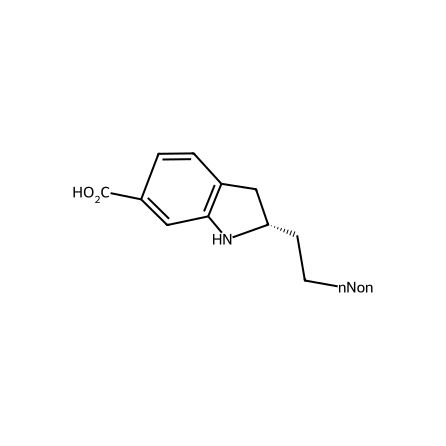 CCCCCCCCCCC[C@H]1Cc2ccc(C(=O)O)cc2N1